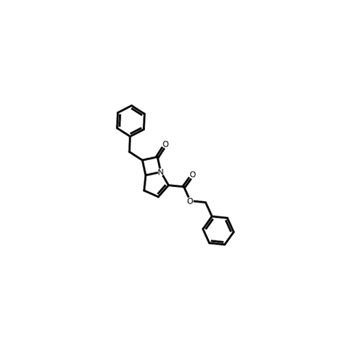 O=C(OCc1ccccc1)C1=CCC2C(Cc3ccccc3)C(=O)N12